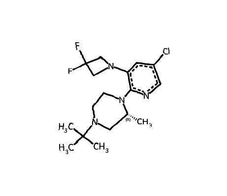 C[C@@H]1CN(C(C)(C)C)CCN1c1ncc(Cl)cc1N1CC(F)(F)C1